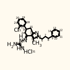 Cc1c2c(nn1CCCc1ccccc1)CC(c1ccccc1Cl)CC2=NNC(=N)N.Cl